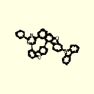 c1ccc(-c2cc(-c3cccc4oc5ccc(-c6cccc7oc8cc(-n9c%10ccccc%10c%10ccccc%109)ccc8c67)cc5c34)nc(-c3ccccc3)n2)cc1